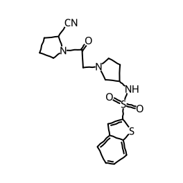 N#CC1CCCN1C(=O)CN1CCC(NS(=O)(=O)c2cc3ccccc3s2)C1